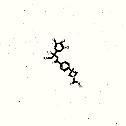 CC(C)(C)OC(=O)N1CC(F)(c2ccc(C(=O)CC(C[N+](=O)[O-])(c3cc(Cl)c(Cl)c(Cl)c3)C(F)(F)F)cc2)C1